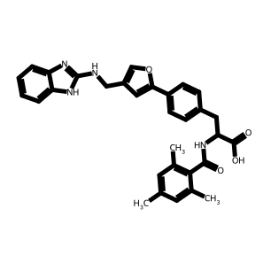 Cc1cc(C)c(C(=O)NC(Cc2ccc(-c3cc(CNc4nc5ccccc5[nH]4)co3)cc2)C(=O)O)c(C)c1